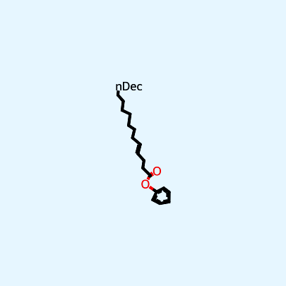 CCCCCCCCCCCCCCCCC/C=C/CCC(=O)Oc1ccccc1